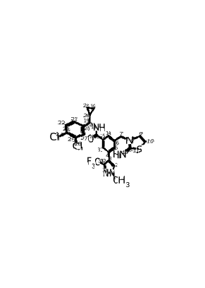 Cn1cc(-c2cc(CN3CCSC3=N)cc(C(=O)N[C@H](c3ccc(Cl)c(Cl)c3)C3CC3)c2)c(C(F)(F)F)n1